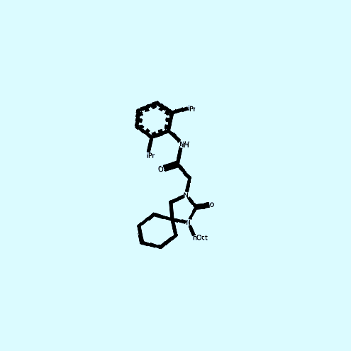 CCCCCCCCN1C(=O)N(CC(=O)Nc2c(C(C)C)cccc2C(C)C)CC12CCCCC2